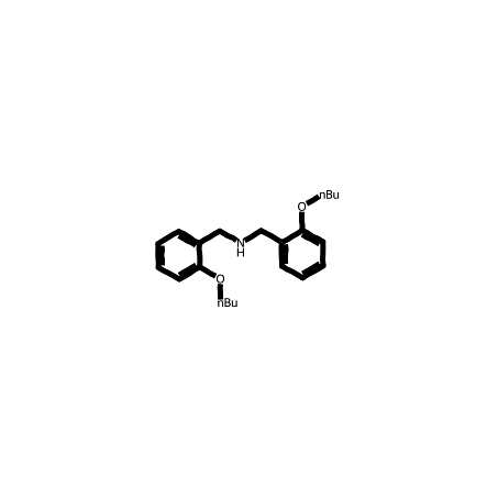 CCCCOc1ccccc1CNCc1ccccc1OCCCC